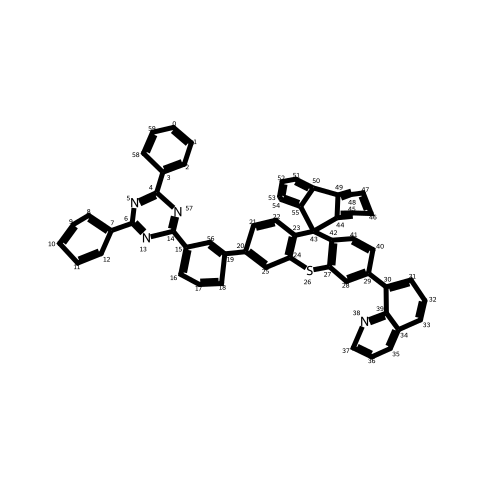 c1ccc(-c2nc(-c3ccccc3)nc(-c3cccc(-c4ccc5c(c4)Sc4cc(-c6cccc7cccnc67)ccc4C54c5ccccc5-c5ccccc54)c3)n2)cc1